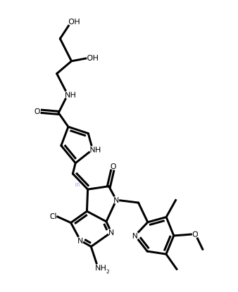 COc1c(C)cnc(CN2C(=O)/C(=C\c3cc(C(=O)NCC(O)CO)c[nH]3)c3c(Cl)nc(N)nc32)c1C